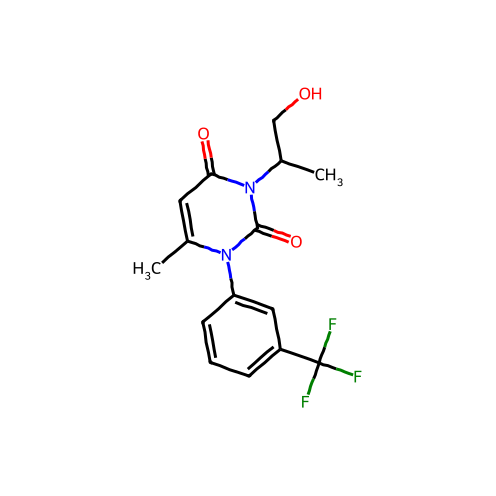 Cc1cc(=O)n(C(C)CO)c(=O)n1-c1cccc(C(F)(F)F)c1